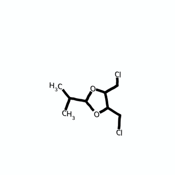 CC(C)C1OC(CCl)C(CCl)O1